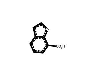 O=C(O)c1cccc2c[c]sc12